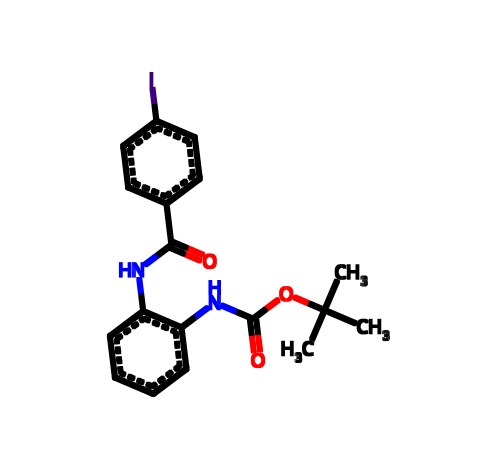 CC(C)(C)OC(=O)Nc1ccccc1NC(=O)c1ccc(I)cc1